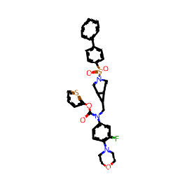 O=C(Oc1cccs1)N(CC1C2CN(S(=O)(=O)c3ccc(-c4ccccc4)cc3)CC12)c1ccc(N2CCOCC2)c(F)c1